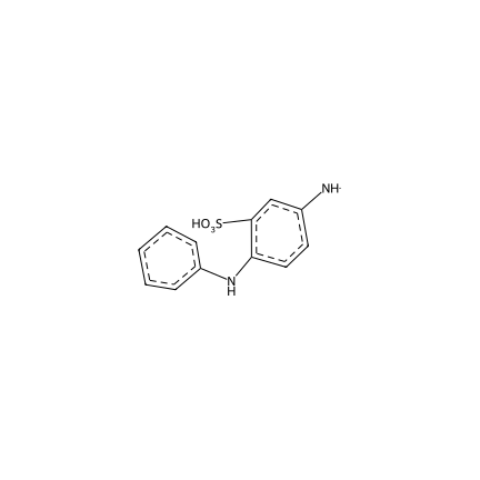 [NH]c1ccc(Nc2ccccc2)c(S(=O)(=O)O)c1